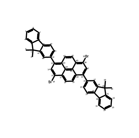 CC1(C)c2ccccc2-c2ccc(-c3cc(Br)c4ccc5c(-c6ccc7c(c6)C(C)(C)c6ccccc6-7)cc(Br)c6ccc3c4c65)cc21